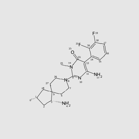 C[C@H]1C[C@@H](N)C2(CCN(c3nc(N)c(-c4cccc(F)c4F)c(=O)n3C)CC2)C1